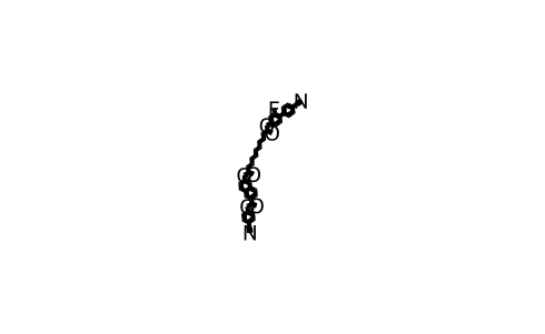 N#Cc1ccc(OC(=O)c2ccc3cc(OC(=O)CCCCCCCCCC(=O)Oc4ccc(-c5ccc(C#N)cc5)c(F)c4)ccc3c2)cc1